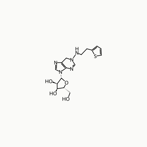 OC[C@H]1O[C@@H](n2cnc3c2N=CN(NCCc2cccs2)C3)[C@H](O)[C@@H]1O